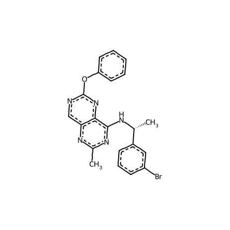 Cc1nc(N[C@H](C)c2cccc(Br)c2)c2nc(Oc3ccccc3)ncc2n1